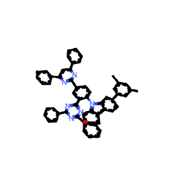 Cc1cc(C)cc(-c2ccc3c4ccccc4n(-c4ccc(-c5nc(-c6ccccc6)cc(-c6ccccc6)n5)cc4-c4nc(-c5ccccc5)nc(-c5ccccc5)n4)c3c2)c1